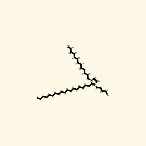 CCCCCCCCCCCCCCCCCCC1N(CCCCC)C=CN1CCCCCCCCCCCCC